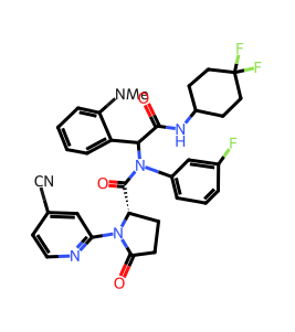 CNc1ccccc1C(C(=O)NC1CCC(F)(F)CC1)N(C(=O)[C@@H]1CCC(=O)N1c1cc(C#N)ccn1)c1cccc(F)c1